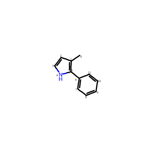 Cc1cc[nH]c1-c1ccccc1